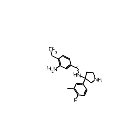 Cc1cc(C2(NSc3ccc(CC(F)(F)F)c(N)c3)CCNC2)ccc1F